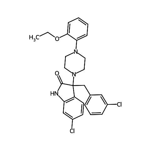 CCOc1ccccc1N1CCN(C2(Cc3cccc(Cl)c3)C(=O)Nc3cc(Cl)ccc32)CC1